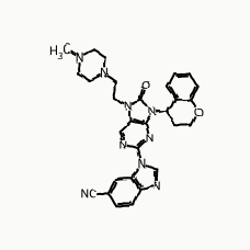 CN1CCN(CCn2c(=O)n([C@@H]3CCOc4ccccc43)c3nc(-n4cnc5ccc(C#N)cc54)ncc32)CC1